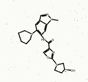 Cn1ncc2cc(N3CCCCC3)c(NC(=O)c3coc(N4CC[C@H](O)C4)n3)cc21